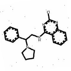 Clc1nc(NCC(c2ccccc2)N2CCCC2)c2ccccc2n1